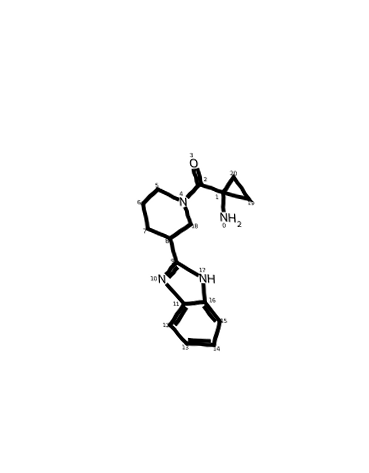 NC1(C(=O)N2CCCC(c3nc4ccccc4[nH]3)C2)CC1